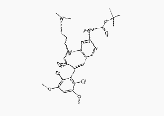 COc1cc(OC)c(Cl)c(-c2cc3cnc(NC(=O)OC(C)(C)C)cc3n(CCCN(C)C)c2=O)c1Cl